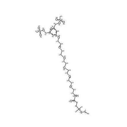 CSSC(C)(C)CCC(=O)NCCOCCOCCOCCOCCOCCOc1cc(COS(C)(=O)=O)nc(COS(C)(=O)=O)c1